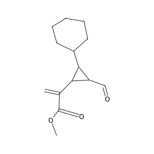 C=C(C(=O)OC)C1C(C=O)C1C1CCCCC1